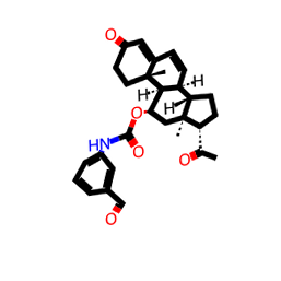 CC(=O)[C@H]1CC[C@H]2[C@@H]3C=CC4=CC(=O)CC[C@@]4(C)[C@@H]3[C@@H](OC(=O)Nc3cccc(C=O)c3)C[C@]12C